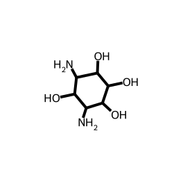 NC1C(O)C(N)C(O)C(O)C1O